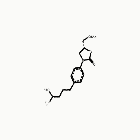 COC[C@H]1CN(c2ccc(CCCC(O)C(F)(F)F)cc2)C(=O)O1